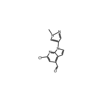 Cn1cc(-n2ccc3c(C=O)cc(Cl)nc32)cn1